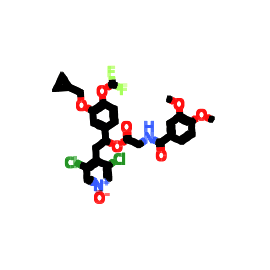 COc1ccc(C(=O)NCC(=O)OC(Cc2c(Cl)c[n+]([O-])cc2Cl)c2ccc(OC(F)F)c(OCC3CC3)c2)cc1OC